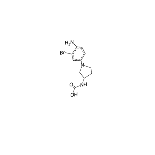 Nc1ccc(N2CCC(NC(=O)O)C2)cc1Br